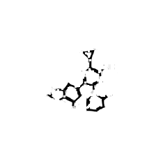 Nc1nc(-n2ccccc2=O)c(-c2cc(Cl)c3scnc3c2)nc1C1CC1